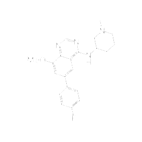 COc1cc(-c2ccc(F)cc2)cc2c(NC3CCCN(C)C3)ncnc12